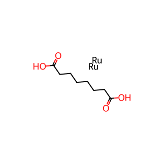 O=C(O)CCCCCCC(=O)O.[Ru].[Ru]